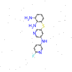 Nc1cccc(Sc2cncc(Nc3ccc(F)nc3)c2)c1N